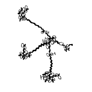 C#CCCOP(OCCOCCNC(=O)C(CCCCNC(=O)CCCCCCCCCCCOC1OC(COC(C)=O)C(OC(C)=O)C(OC(C)=O)C1NC(C)=O)NC(=O)C(CCCCNC(=O)CCCCCCCCCCCOC1OC(COC(C)=O)C(OC(C)=O)C(OC(C)=O)C1NC(C)=O)NC(=O)CCCCCCCCCCCOC1OC(COC(C)=O)C(OC(C)=O)C(OC(C)=O)C1NC(C)=O)N(C(C)C)C(C)C